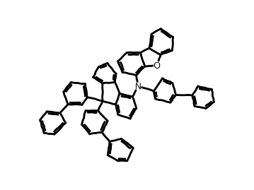 c1ccc(-c2ccc(N(c3cccc4c3-c3ccccc3C4(c3cccc(-c4ccccc4)c3)c3cccc(-c4ccccc4)c3)c3cccc4c3oc3ccccc34)cc2)cc1